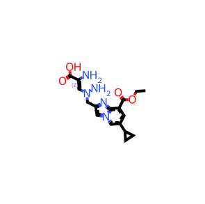 CCOC(=O)c1cc(C2CC2)cn2cc(CN(N)/C=C(\N)C(=O)O)nc12